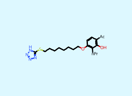 CCCc1c(OCCCCCCCCSc2nnn[nH]2)ccc(C(C)=O)c1O